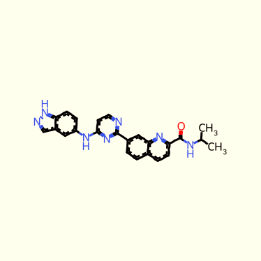 CC(C)NC(=O)c1ccc2ccc(-c3nccc(Nc4ccc5[nH]ncc5c4)n3)cc2n1